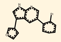 CCc1ccccc1-c1cnc2[nH]cc(-c3ccoc3)c2c1